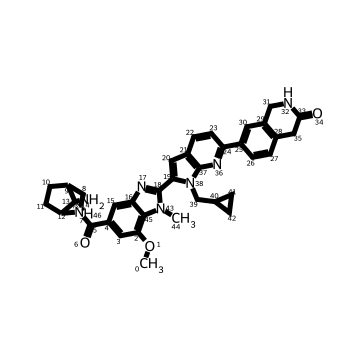 COc1cc(C(=O)N2CC3CCC2[C@@H]3N)cc2nc(-c3cc4ccc(-c5ccc6c(c5)CNC(=O)C6)nc4n3CC3CC3)n(C)c12